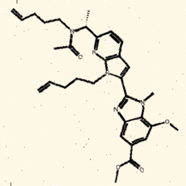 C=CCCCN(C(C)=O)[C@H](C)c1ccc2cc(-c3nc4cc(C(=O)OC)cc(OC)c4n3C)n(CCCC=C)c2n1